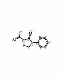 CC(=O)C1CCN(c2ccccc2)C1=O